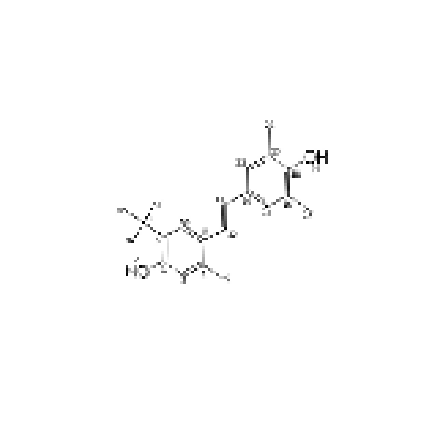 Cc1cc(O)c(C(C)(C)C)cc1C=Cc1cc(C)c(O)c(C)c1